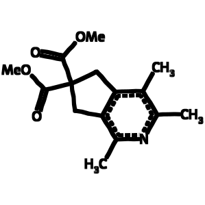 COC(=O)C1(C(=O)OC)Cc2c(C)nc(C)c(C)c2C1